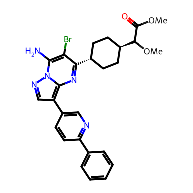 COC(=O)C(OC)[C@H]1CC[C@H](c2nc3c(-c4ccc(-c5ccccc5)nc4)cnn3c(N)c2Br)CC1